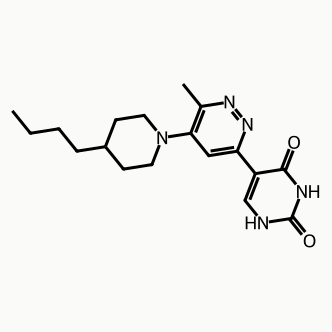 CCCCC1CCN(c2cc(-c3c[nH]c(=O)[nH]c3=O)nnc2C)CC1